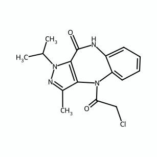 Cc1nn(C(C)C)c2c1N(C(=O)CCl)c1ccccc1NC2=O